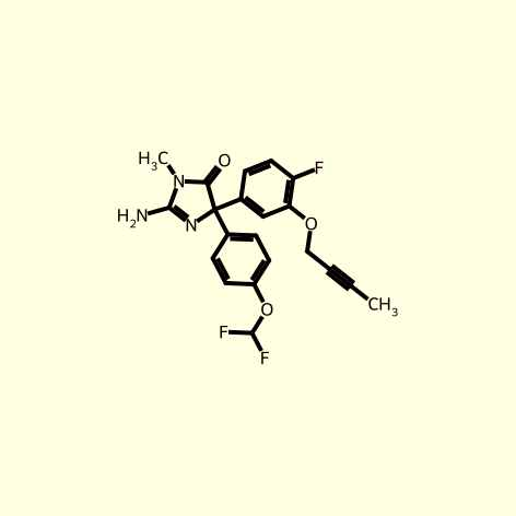 CC#CCOc1cc(C2(c3ccc(OC(F)F)cc3)N=C(N)N(C)C2=O)ccc1F